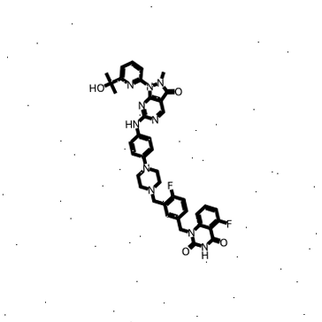 Cn1c(=O)c2cnc(Nc3ccc(N4CCN(Cc5cc(Cn6c(=O)[nH]c(=O)c7c(F)cccc76)ccc5F)CC4)cc3)nc2n1-c1cccc(C(C)(C)O)n1